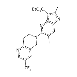 CCOC(=O)c1c(C)nc2cc(C)c(N3CCc4ncc(C(F)(F)F)cc4C3)nn12